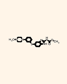 COC(=O)Nc1nc2cc(Sc3cccc(N4CCN(C)CC4)c3)ccc2[nH]1